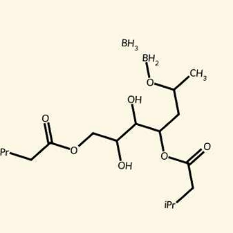 B.BOC(C)CC(OC(=O)CC(C)C)C(O)C(O)COC(=O)CC(C)C